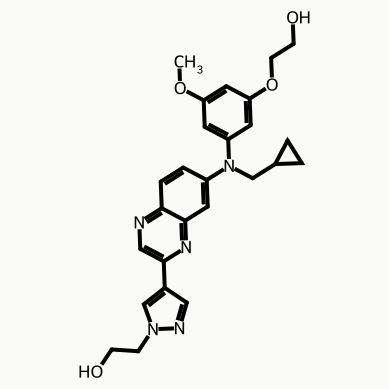 COc1cc(OCCO)cc(N(CC2CC2)c2ccc3ncc(-c4cnn(CCO)c4)nc3c2)c1